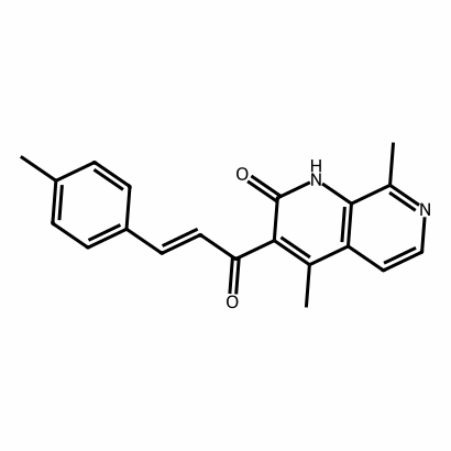 Cc1ccc(C=CC(=O)c2c(C)c3ccnc(C)c3[nH]c2=O)cc1